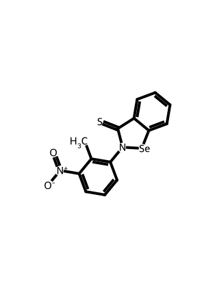 Cc1c(-n2[se]c3ccccc3c2=S)cccc1[N+](=O)[O-]